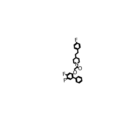 O=C(COc1cc(F)c(F)cc1-c1ccccc1)N1CCC(CCc2ccc(F)cc2)CC1